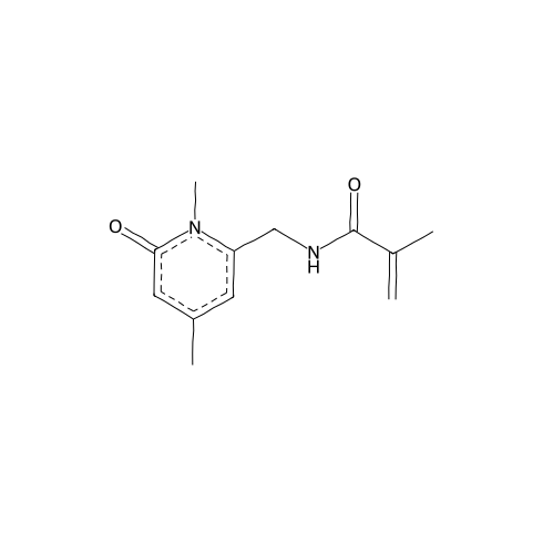 C=C(C)C(=O)NCc1cc(C)cc(=O)n1C